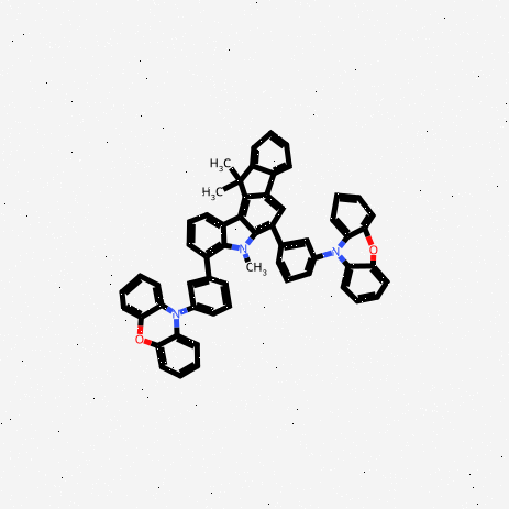 Cn1c2c(-c3cccc(N4c5ccccc5Oc5ccccc54)c3)cccc2c2c3c(cc(-c4cccc(N5c6ccccc6Oc6ccccc65)c4)c21)-c1ccccc1C3(C)C